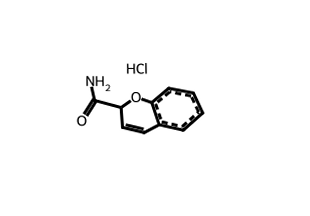 Cl.NC(=O)C1C=Cc2ccccc2O1